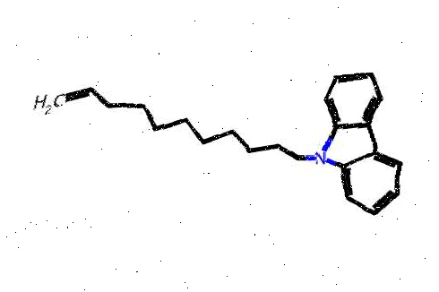 C=CCCCCCCCCCn1c2ccccc2c2ccccc21